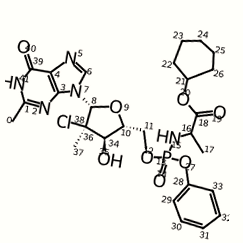 Cc1nc2c(ncn2[C@@H]2O[C@H](COP(=O)(NC(C)C(=O)OC3CCCCC3)Oc3ccccc3)[C@@H](O)[C@@]2(C)Cl)c(=O)[nH]1